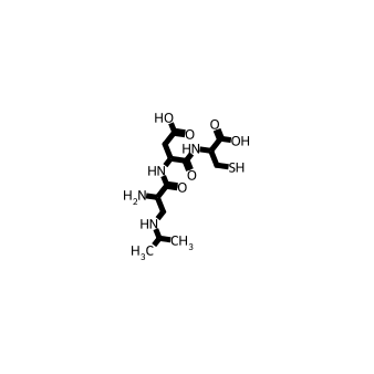 CC(C)NCC(N)C(=O)NC(CC(=O)O)C(=O)NC(CS)C(=O)O